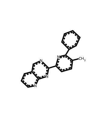 Cc1ccc(-c2ncc3cccnc3n2)nc1-c1ccccc1